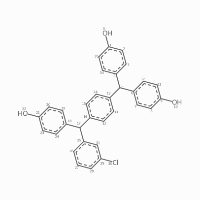 Oc1ccc(C(c2ccc(O)cc2)c2ccc(C(c3ccc(O)cc3)c3cccc(Cl)c3)cc2)cc1